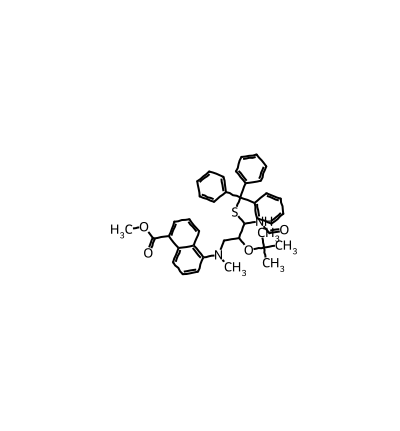 COC(=O)c1cccc2c(N(C)CC(OC(C)(C)C)C(NC=O)SC(c3ccccc3)(c3ccccc3)c3ccccc3)cccc12